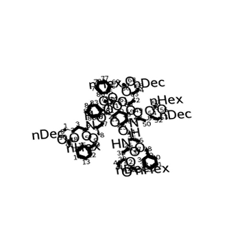 CCCCCCCCCCC[C@H](CC(=O)N[C@H](COCc1ccccc1)COC[C@H]1O[C@H](OC[C@@H](COCc2ccccc2)NC(=O)C[C@@H](CCCCCCCCCCC)OC(=O)CCCCCC)[C@@H](NC(=O)C[C@@H](CCCCCCCCCCC)OC(=O)CCCCCC)[C@@H](OC(=O)C[C@@H](CCCCCCCCCCC)OC(=O)CCCCCC)[C@@H]1OP(=O)(Oc1ccccc1)Oc1ccccc1)OC(=O)CCCCCC